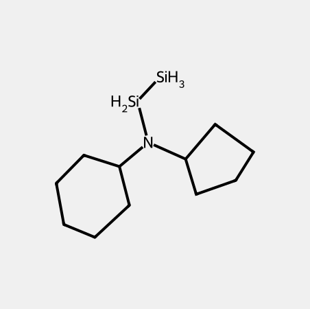 [SiH3][SiH2]N(C1CCCCC1)C1CCCC1